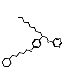 CCCCCCCCC(COc1cncnc1)c1ccc(OCCCCCC2CCCCC2)cc1